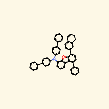 C1=Cc2ccc(-c3ccc(-c4ccccc4)c4c3oc3c(N(c5ccc(-c6ccccc6)cc5)c5ccc(-c6ccccc6)cc5)cccc34)cc2CC1